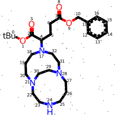 CC(C)(C)OC(=O)C(CCC(=O)OCc1ccccc1)N1CCCN2CCNCCCN(CC2)CC1